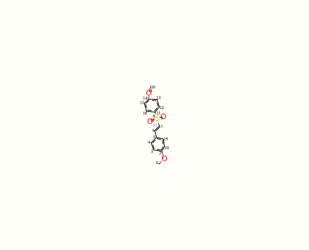 COc1ccc(/C=C/S(=O)(=O)c2ccc(OC)cc2)cc1